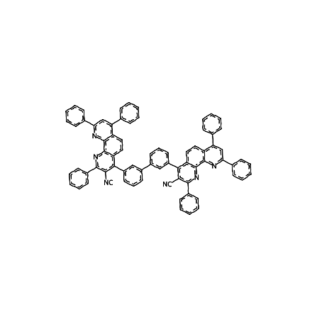 [C-]#[N+]c1c(-c2ccccc2)nc2c(ccc3c(-c4ccccc4)cc(-c4ccccc4)nc32)c1-c1cccc(-c2cccc(-c3c(C#N)c(-c4ccccc4)nc4c3ccc3c(-c5ccccc5)cc(-c5ccccc5)nc34)c2)c1